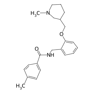 Cc1ccc(C(=O)NCc2ccccc2OCC2CCCN(C)C2)cc1